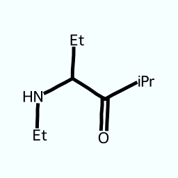 CCNC(CC)C(=O)C(C)C